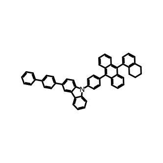 c1ccc(-c2ccc(-c3ccc4c(c3)c3ccccc3n4-c3ccc(-c4c5ccccc5c(-c5cccc6c5CCCC6)c5ccccc45)cc3)cc2)cc1